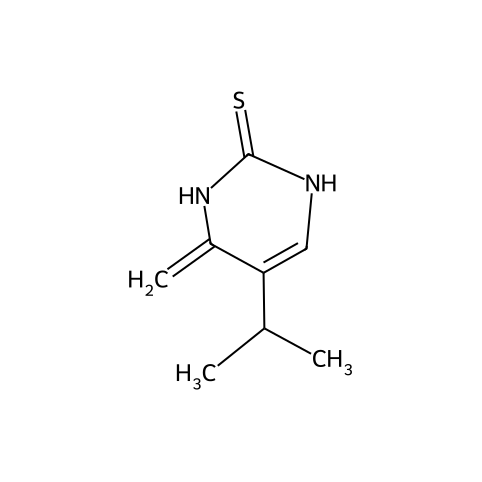 C=C1NC(=S)NC=C1C(C)C